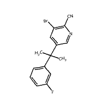 CC(C)(c1cccc(F)c1)c1cnc(C#N)c(Br)c1